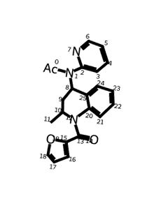 CC(=O)N(c1ccccn1)C1CC(C)N(C(=O)c2ccco2)c2ccccc21